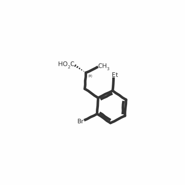 CCc1cccc(Br)c1C[C@@H](C)C(=O)O